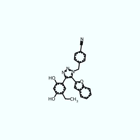 CCc1cc(-c2nnn(Cc3ccc(C#N)cc3)c2-c2cc3ccccc3o2)c(O)cc1O